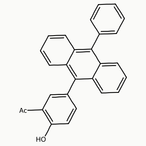 CC(=O)c1cc(-c2c3ccccc3c(-c3ccccc3)c3ccccc23)ccc1O